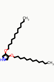 CCCCCCCCCCCCOc1c[nH]cc1OCCCCCCCCCCCC